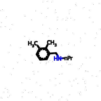 CCCNCc1cccc(C)c1C